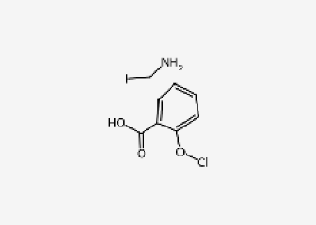 NCI.O=C(O)c1ccccc1OCl